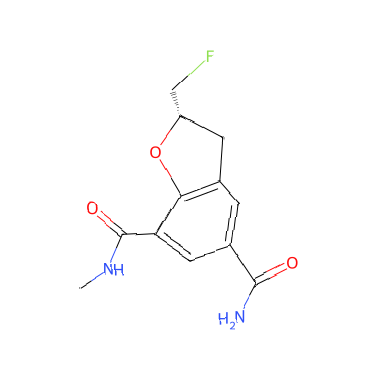 CNC(=O)c1cc(C(N)=O)cc2c1O[C@H](CF)C2